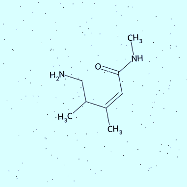 CNC(=O)/C=C(/C)C(C)CN